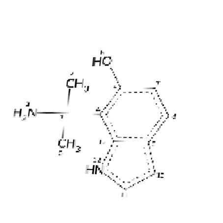 CC(C)(N)c1c(O)ccc2cc[nH]c12